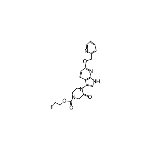 O=C(OCCF)N1CCN(c2c[nH]c3nc(OCc4ccccn4)ccc23)C(=O)C1